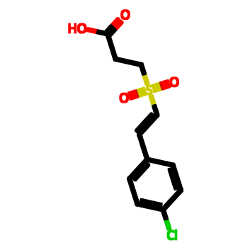 O=C(O)CCS(=O)(=O)C=Cc1ccc(Cl)cc1